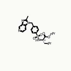 CCCOC(=O)[C@H](CC(C)C)NS(=O)(=O)c1ccc(Cn2c(C)nc3cnccc32)cc1